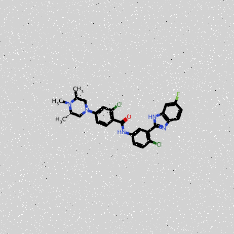 CC1CN(c2ccc(C(=O)Nc3ccc(Cl)c(-c4nc5ccc(F)cc5[nH]4)c3)c(Cl)c2)C[C@H](C)N1C